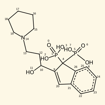 O=P(O)(O)C1(P(=O)(O)O)C(C(O)CCN2CCCCC2)=Cc2ccccc21